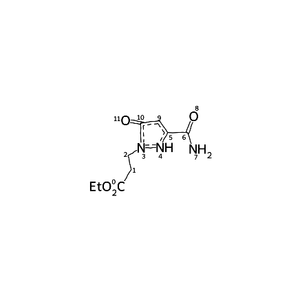 CCOC(=O)CCn1[nH]c(C(N)=O)cc1=O